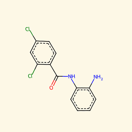 Nc1ccccc1NC(=O)c1ccc(Cl)cc1Cl